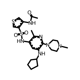 CC(=O)Nc1cscc1S(=O)(=O)Nc1cc(NC2CCCC2)c(N2CCN(C)CC2)nc1C